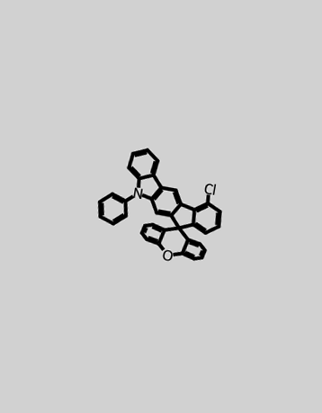 Clc1cccc2c1-c1cc3c4ccccc4n(-c4ccccc4)c3cc1C21c2ccccc2Oc2ccccc21